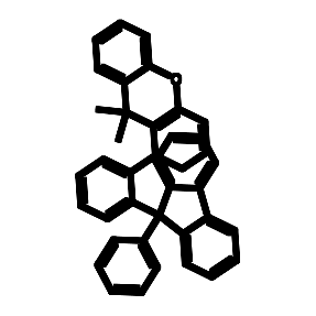 CC1(C)C2=C(C=CCC2c2ccccc2C2(c3ccccc3)c3ccccc3-c3ccccc32)Oc2ccccc21